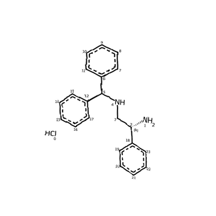 Cl.N[C@@H](CNC(c1ccccc1)c1ccccc1)c1ccccc1